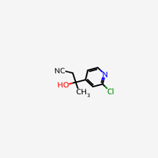 CC(O)(CC#N)c1ccnc(Cl)c1